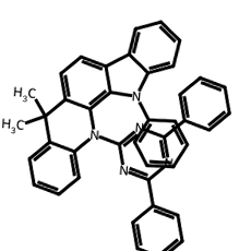 CC1(C)c2ccccc2N(c2nc(-c3ccccc3)nc(-c3ccccc3)n2)c2c1ccc1c3ccccc3n(-c3ccccc3)c21